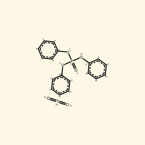 O=P(Oc1ccccc1)(Oc1ccccc1)Oc1ccccc1.[O]=[Ti]=[O]